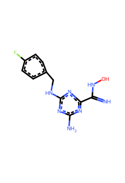 N=C(NO)c1nc(N)nc(NCc2ccc(F)cc2)n1